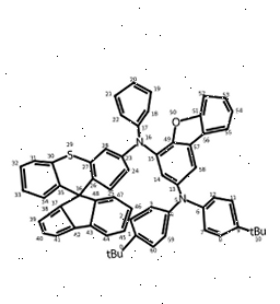 CC(C)(C)c1ccc(N(c2ccc(C(C)(C)C)cc2)c2cc(N(c3ccccc3)c3ccc4c(c3)Sc3ccccc3C43c4ccccc4-c4ccccc43)c3oc4ccccc4c3c2)cc1